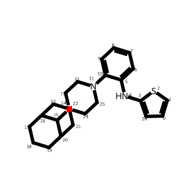 c1csc(Nc2ccccc2N2CCN(C3C4CCCC3CCC4)CC2)c1